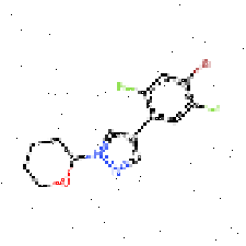 Fc1cc(-c2cnn(C3CCCCO3)c2)c(F)cc1Br